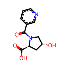 O=C(O)[C@@H]1C[C@@H](O)CN1C(=O)c1cccnc1